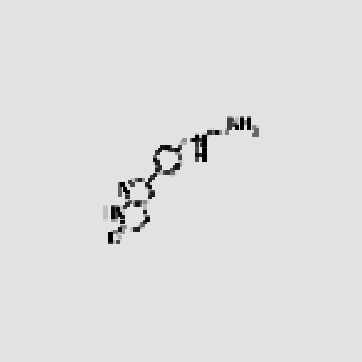 NCCNCc1ccc(-c2cnc3c(c2)CCC(=O)N3)cc1